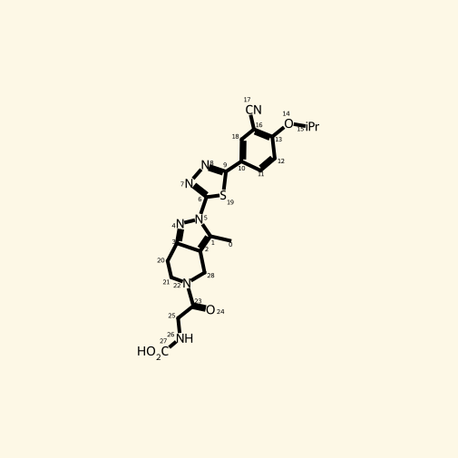 Cc1c2c(nn1-c1nnc(-c3ccc(OC(C)C)c(C#N)c3)s1)CCN(C(=O)CNC(=O)O)C2